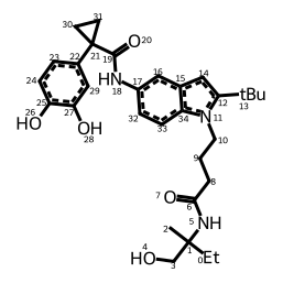 CCC(C)(CO)NC(=O)CCCn1c(C(C)(C)C)cc2cc(NC(=O)C3(c4ccc(O)c(O)c4)CC3)ccc21